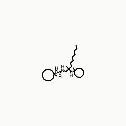 CCCCCCCCC(C)(BC1(C)CCCCCCC1)CNBBC1(C)CCCCCCCCC1